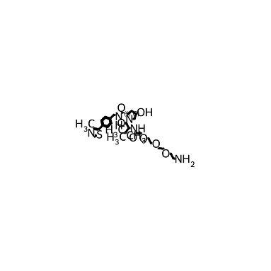 Cc1ncsc1-c1ccc(CNC(=O)[C@@H]2C[C@@H](O)CN2C(=O)C(NC(=O)COCCOCCOCCN)C(C)(C)C)cc1